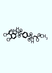 COC(=O)CNS(=O)(=O)c1ccc(S(=O)(=O)Nc2ccc(Cl)c3c(Cl)c[nH]c23)cc1